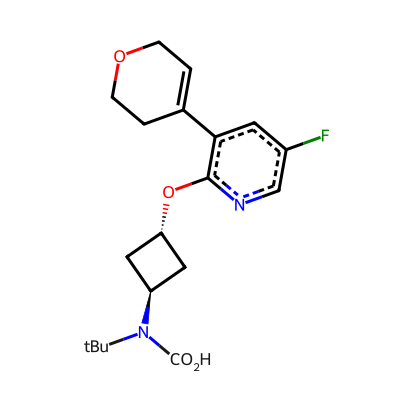 CC(C)(C)N(C(=O)O)[C@H]1C[C@H](Oc2ncc(F)cc2C2=CCOCC2)C1